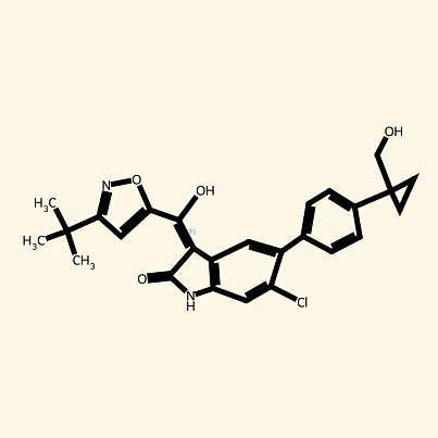 CC(C)(C)c1cc(/C(O)=C2\C(=O)Nc3cc(Cl)c(-c4ccc(C5(CO)CC5)cc4)cc32)on1